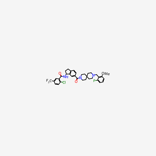 COc1cccc(F)c1CN1CCC2(CC1)CCN(C(=O)c1ccc3c(c1)C(NC(=O)c1cc(C(F)(F)F)ccc1Cl)CC3)CC2